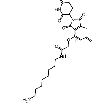 C=C/C=C(/OCC(=O)NCCCCCCCCN)C1=C(C)C(=O)N(C2CCC(=O)NC2=O)C1=O